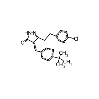 CC(C)(C)c1ccc(/C=C2/C(=O)NN=C2CCc2ccc(Cl)cc2)cc1